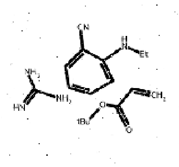 C=CC(=O)OC(C)(C)C.CCNc1ccccc1C#N.N=C(N)N